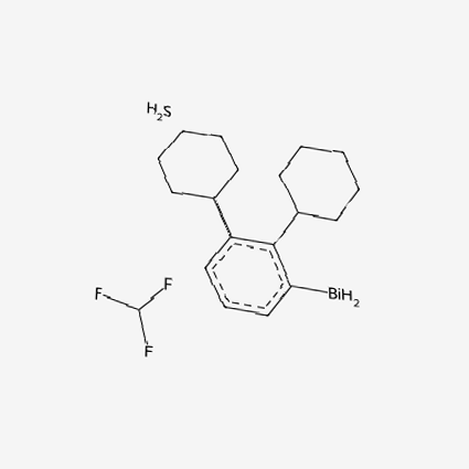 FC(F)F.S.[BiH2][c]1cccc(C2CCCCC2)c1C1CCCCC1